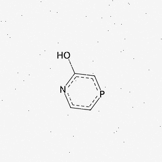 Oc1cpccn1